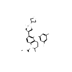 COC(=O)N1c2ccc(-c3cnn(C4CNC4)c3)c(Oc3cc(F)cc(F)c3)c2CCC1C